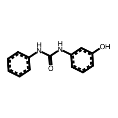 O=C(Nc1ccccc1)Nc1cccc(O)c1